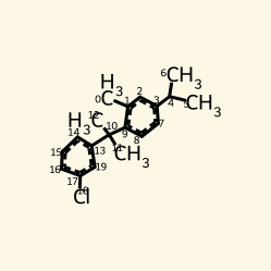 Cc1cc(C(C)C)ccc1C(C)(C)c1cccc(Cl)c1